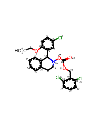 O=C(O)COc1ccc(Cl)cc1C1c2ccccc2CCN1OC(=O)OCc1c(Cl)cccc1Cl